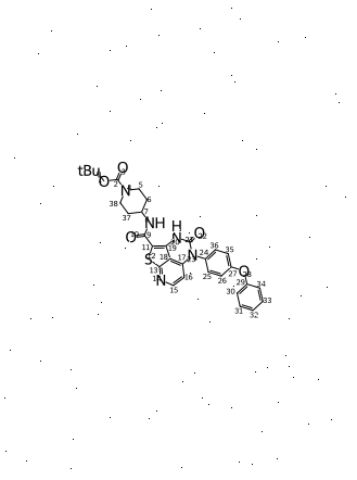 CC(C)(C)OC(=O)N1CCC(NC(=O)c2sc3nccc4c3c2NC(=O)N4c2ccc(Oc3ccccc3)cc2)CC1